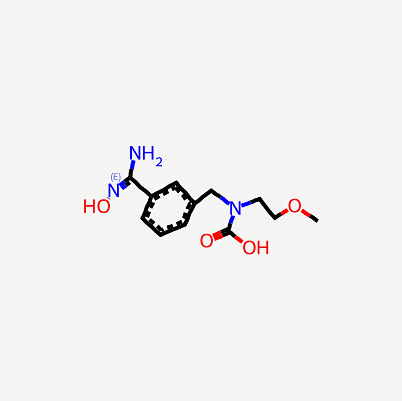 COCCN(Cc1cccc(/C(N)=N\O)c1)C(=O)O